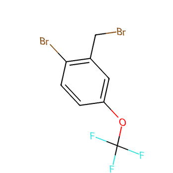 FC(F)(F)Oc1ccc(Br)c(CBr)c1